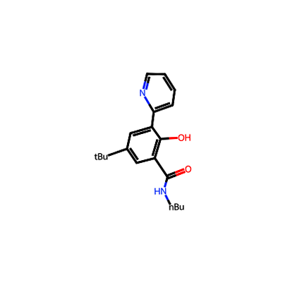 CCCCNC(=O)c1cc(C(C)(C)C)cc(-c2ccccn2)c1O